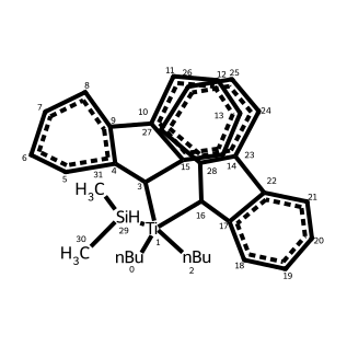 CCC[CH2][Ti]([CH2]CCC)([CH]1c2ccccc2-c2ccccc21)([CH]1c2ccccc2-c2ccccc21)[SiH](C)C